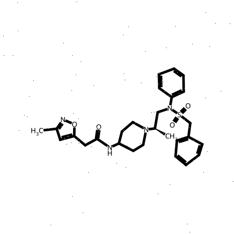 Cc1cc(CC(=O)NC2CCN([C@H](C)CN(c3ccccc3)S(=O)(=O)Cc3ccccc3)CC2)on1